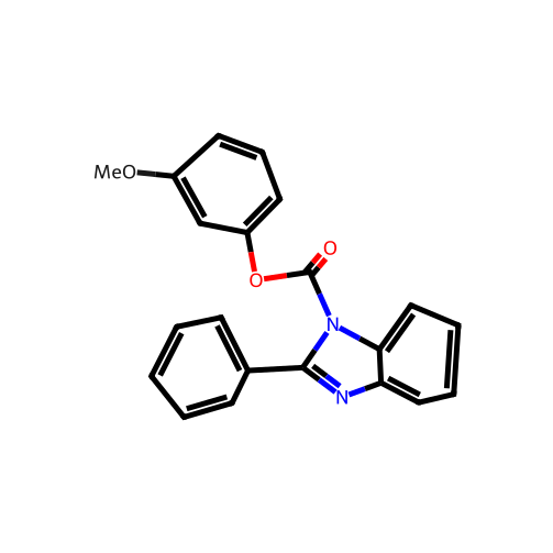 COc1cccc(OC(=O)n2c(-c3ccccc3)nc3ccccc32)c1